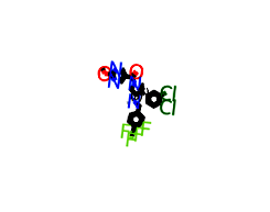 COc1ncc(C(=O)N2C[C@H](c3ccc(Cl)c(Cl)c3)[C@H](N(C)Cc3ccc(C(F)(F)F)c(F)c3)C2)cn1